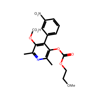 COCCOC(=O)Oc1c(C)nc(C)c(OC(=O)O)c1-c1cccc([N+](=O)[O-])c1